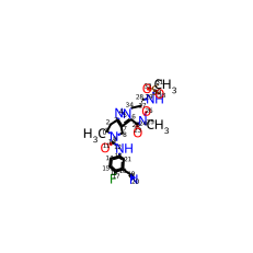 C[C@@H]1Cc2nn3c(c2CN1C(=O)Nc1ccc(F)c(C#N)c1)C(=O)N(C)O[C@@H](CNS(C)(=O)=O)C3